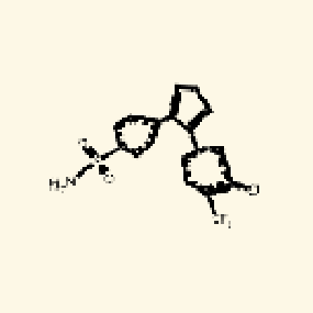 NS(=O)(=O)c1ccc(C2=CCC=C2c2ccc(C(F)(F)F)c(Cl)c2)cc1